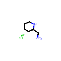 Cl.Cl.NCC1CCCCN1